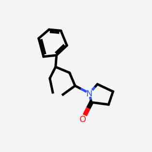 CCC(CC(C)N1CCCC1=O)c1ccccc1